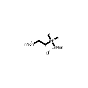 CCCCCCCCCCC[N+](C)(C)CCCCCCCCC.[Cl-]